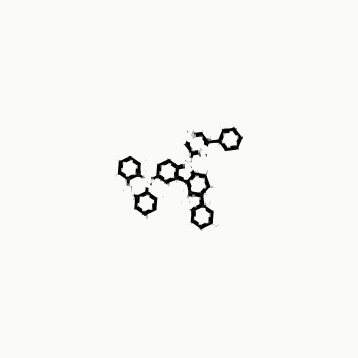 c1ccc(-c2cncc(-n3c4ccc(N5c6ccccc6Oc6ccccc65)cc4c4c5oc6ccccc6c5ccc43)n2)cc1